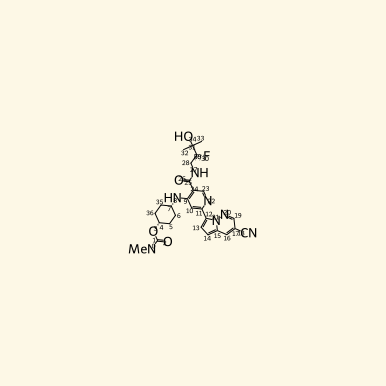 CNC(=O)O[C@H]1CC[C@@H](Nc2cc(-c3ccc4cc(C#N)cnn34)ncc2C(=O)NC[C@@H](F)C(C)(C)O)CC1